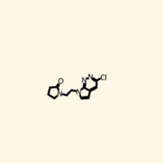 O=C1CCCN1CCn1ccc2cc(Cl)nnc21